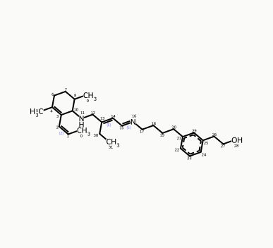 C/C=C\C1=C(C)CCC(C)C1NC/C(=C/C=N/CCCCc1cccc(CCO)c1)CC